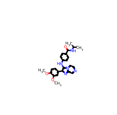 COc1ccc(-c2nc3cnccn3c2Nc2ccc(C(=O)NC(C)C)cc2)cc1OC